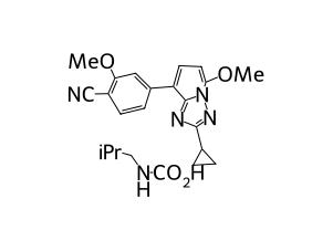 CC(C)CNC(=O)O.COc1cc(-c2ccc(OC)n3nc(C4CC4)nc23)ccc1C#N